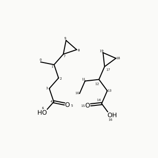 CC(CCC(=O)O)C1CC1.CCC(CC(=O)O)C1CC1